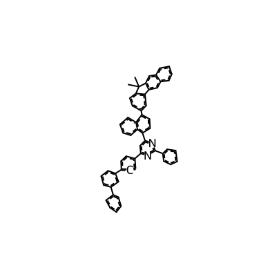 CC1(C)c2ccc(-c3ccc(-c4cc(-c5ccc(-c6cccc(-c7ccccc7)c6)cc5)nc(-c5ccccc5)n4)c4ccccc34)cc2-c2cc3ccccc3cc21